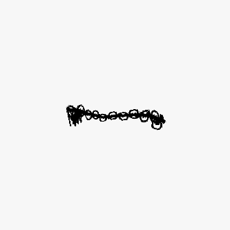 C=C(C)C(=O)OCCOCCOCCOCCOCCOCCOCCOCCOC(COC)N=[N+]=[N-]